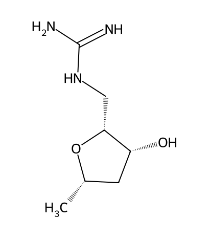 C[C@H]1C[C@@H](O)[C@@H](CNC(=N)N)O1